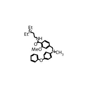 CCN(CC)CCNC(=O)c1ccc(CN(C)c2ccc(Oc3ccccc3)cc2)cc1OC